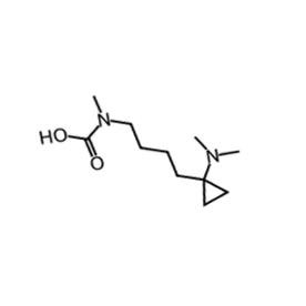 CN(CCCCC1(N(C)C)CC1)C(=O)O